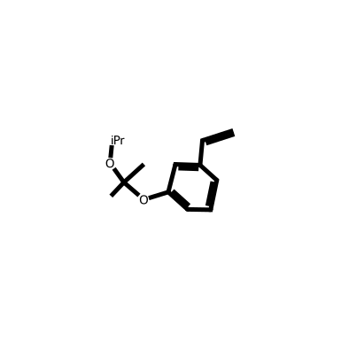 C=Cc1cccc(OC(C)(C)OC(C)C)c1